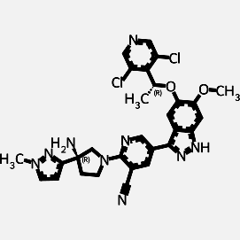 COc1cc2[nH]nc(-c3cnc(N4CC[C@](N)(c5ccn(C)n5)C4)c(C#N)c3)c2cc1O[C@H](C)c1c(Cl)cncc1Cl